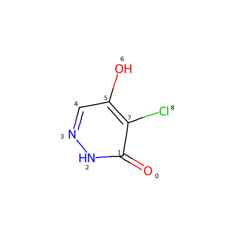 O=c1[nH]ncc(O)c1Cl